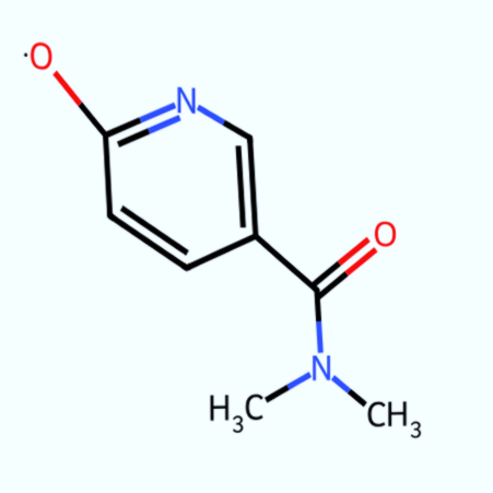 CN(C)C(=O)c1ccc([O])nc1